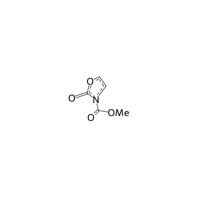 COC(=O)n1ccoc1=O